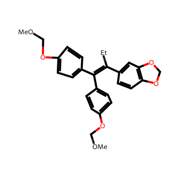 CCC(=C(c1ccc(OCOC)cc1)c1ccc(OCOC)cc1)c1ccc2c(c1)OCO2